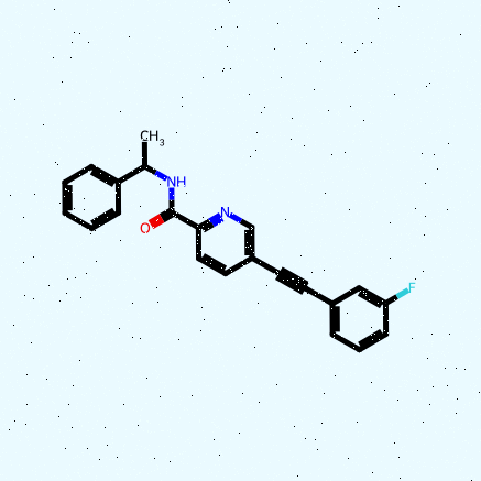 CC(NC(=O)c1ccc(C#Cc2cccc(F)c2)cn1)c1ccccc1